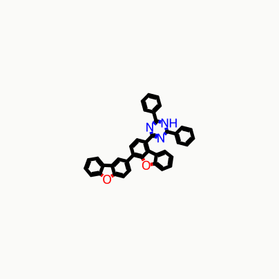 c1ccc(C2=NC(c3ccc(-c4ccc5oc6ccccc6c5c4)c4oc5ccccc5c34)=NC(c3ccccc3)N2)cc1